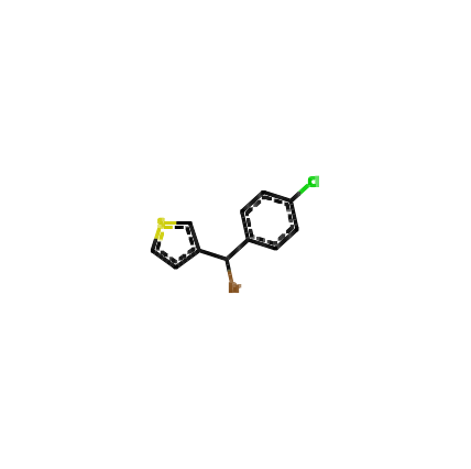 Clc1ccc(C(Br)c2ccsc2)cc1